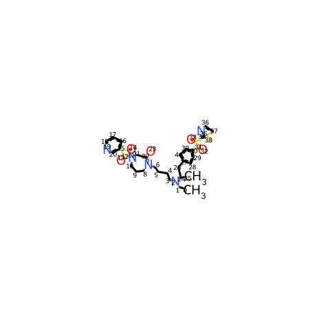 CCN(CCCCN1CCCN(S(=O)(=O)c2cccnc2)CC1=O)C(C)Cc1ccc(S(=O)(=O)c2nccs2)cc1